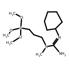 CO[Si](CCCN(C)C(N)=NC1CCCCC1)(OC)OC